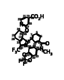 CN(C(=O)c1cccc(-n2nc(C(F)(F)F)c3c2[C@@H](Oc2cc(C(=O)O)ccn2)CCC3)c1)c1ccc2c(c1)OC(F)(F)O2